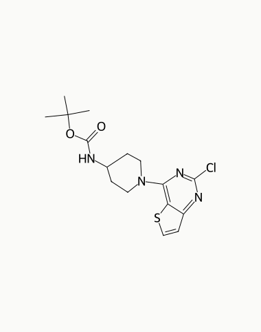 CC(C)(C)OC(=O)NC1CCN(c2nc(Cl)nc3ccsc23)CC1